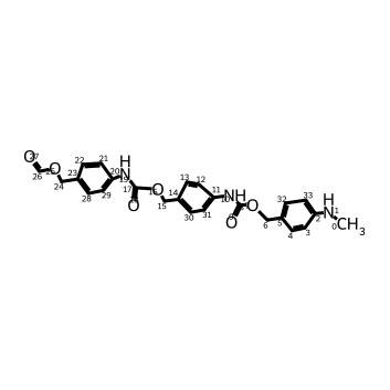 CNc1ccc(COC(=O)Nc2ccc(COC(=O)Nc3ccc(COC=O)cc3)cc2)cc1